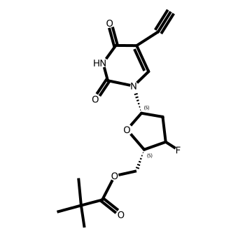 C#Cc1cn([C@@H]2CC(F)[C@H](COC(=O)C(C)(C)C)O2)c(=O)[nH]c1=O